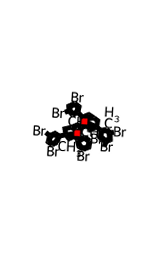 Cc1c(Br)cc(Br)cc1C12CC3CC(c4cc(Br)cc(Br)c4C)(C1)CC(C14CC5CC(c6cc(Br)cc(Br)c6C)(CC(c6cc(Br)cc(Br)c6C)(C5)C1)C4)(C3)C2